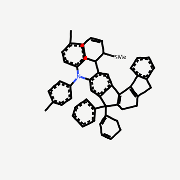 CSC1C=CCC(C)C1c1cc2c(cc1N(c1ccc(C)cc1)c1ccc(C)cc1)C(C1=CC=CCC1)(c1ccccc1)C1=C2C2=C(CC1)Cc1ccccc12